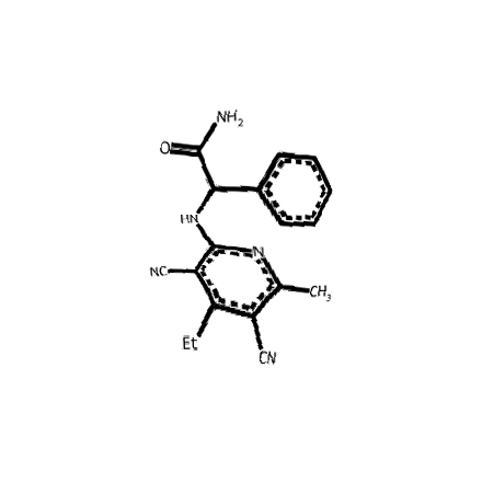 CCc1c(C#N)c(C)nc(NC(C(N)=O)c2ccccc2)c1C#N